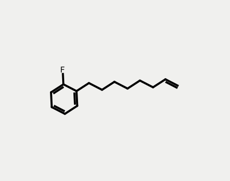 C=CCCCCCCc1ccccc1F